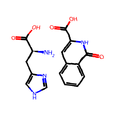 N[C@@H](Cc1c[nH]cn1)C(=O)O.O=C(O)c1cc2ccccc2c(=O)[nH]1